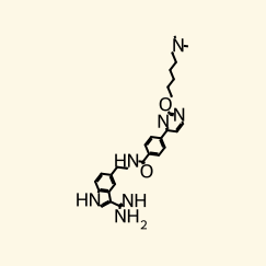 CN(C)CCCCCCOc1nccc(-c2ccc(C(=O)NCCc3ccc4[nH]cc(C(=N)N)c4c3)cc2)n1